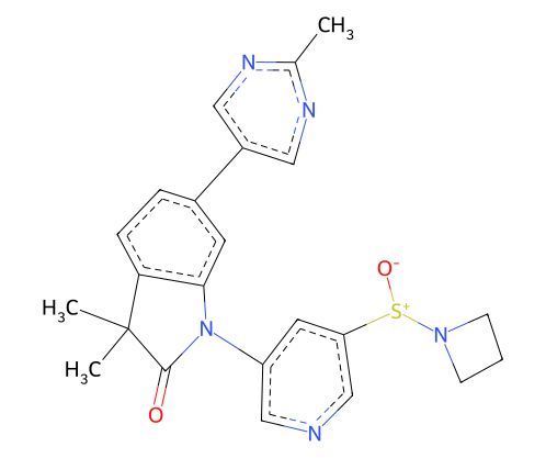 Cc1ncc(-c2ccc3c(c2)N(c2cncc([S+]([O-])N4CCC4)c2)C(=O)C3(C)C)cn1